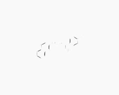 Cc1ccc(C(O)CCOc2ccc3ccccc3c2)cc1